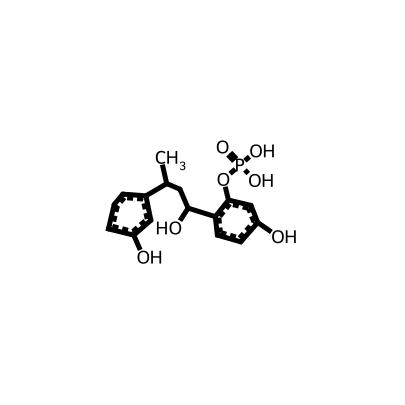 CC(CC(O)c1ccc(O)cc1OP(=O)(O)O)c1cccc(O)c1